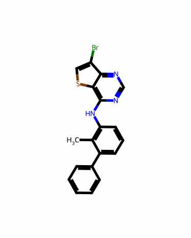 Cc1c(Nc2ncnc3c(Br)csc23)cccc1-c1ccccc1